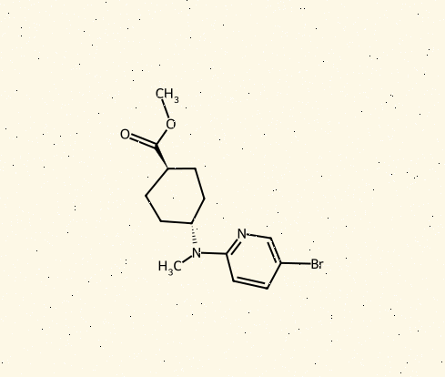 COC(=O)[C@H]1CC[C@H](N(C)c2ccc(Br)cn2)CC1